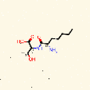 CCCCC[C@H](N)C(=O)N[C@H](C(=O)O)[C@@H](C)O